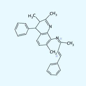 CC1=Nc2c(ccc(C)c2/N=C(C)\C=C\c2ccccc2)C(c2ccccc2)C1C